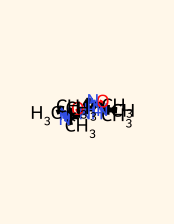 C#CC(C)(C)NC(=O)c1cc(NC(=O)Cc2c(C)nn(C(C)C)c2C)ccn1